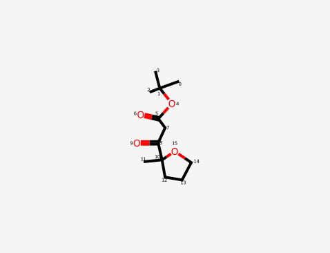 CC(C)(C)OC(=O)CC(=O)C1(C)CCCO1